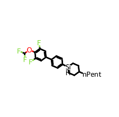 CCCCCC1CC[SiH](c2ccc(-c3cc(F)c(OC(F)F)c(F)c3)cc2)CC1